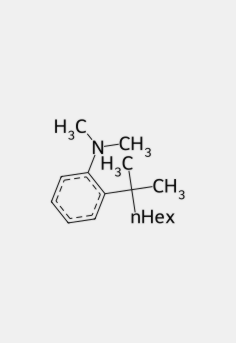 CCCCCCC(C)(C)c1ccccc1N(C)C